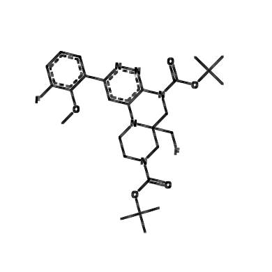 COc1c(F)cccc1-c1cc2c(nn1)N(C(=O)OC(C)(C)C)CC1(CF)CN(C(=O)OC(C)(C)C)CCN21